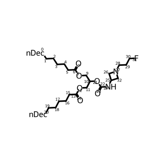 CCCCCCCCCCCCCCCC(=O)OCC(COC(=O)CCCCCCCCCCCCCCC)OC(=O)NC1CN(CCCF)C1